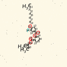 CCCCCCCCCCOc1ccc(C(=O)Oc2ccccc2C(=O)OC[C@@H](C)CC)cc1F